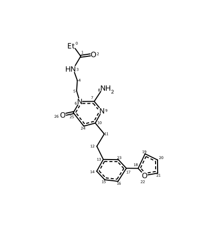 CCC(=O)NCCn1c(N)nc(CCc2cccc(-c3ccco3)c2)cc1=O